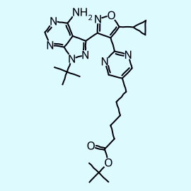 CC(C)(C)OC(=O)CCCCCc1cnc(-c2c(-c3nn(C(C)(C)C)c4ncnc(N)c34)noc2C2CC2)nc1